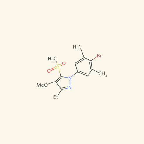 CCc1nn(-c2cc(C)c(Br)c(C)c2)c(S(C)(=O)=O)c1OC